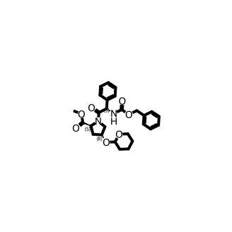 COC(=O)[C@@H]1C[C@@H](OC2CCCCO2)CN1C(=O)[C@@H](NC(=O)OCc1ccccc1)c1ccccc1